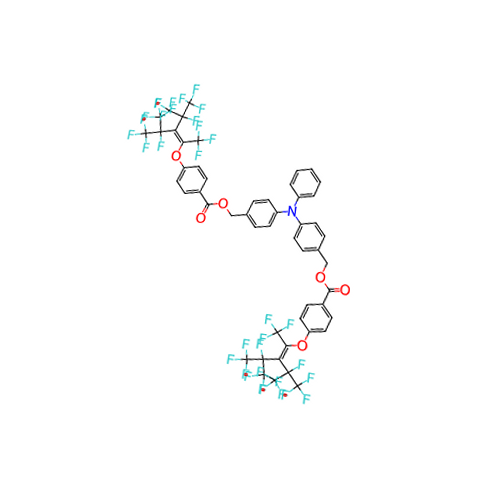 O=C(OCc1ccc(N(c2ccccc2)c2ccc(COC(=O)c3ccc(OC(=C(C(F)(C(F)(F)F)C(F)(F)F)C(F)(C(F)(F)F)C(F)(F)F)C(F)(F)F)cc3)cc2)cc1)c1ccc(OC(=C(C(F)(C(F)(F)F)C(F)(F)F)C(F)(C(F)(F)F)C(F)(F)F)C(F)(F)F)cc1